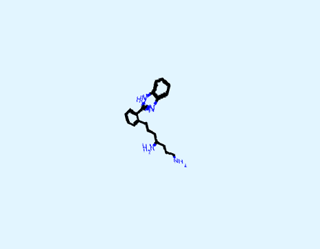 NCCCC(N)CCCc1ccccc1-c1nc2ccccc2[nH]1